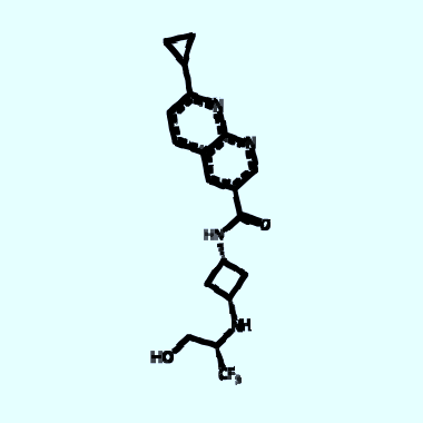 O=C(N[C@H]1C[C@H](N[C@H](CO)C(F)(F)F)C1)c1cnc2nc(C3CC3)ccc2c1